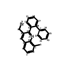 Cc1cccc2cc(CBr)c(-c3ccccc3-c3ccccc3)nc12